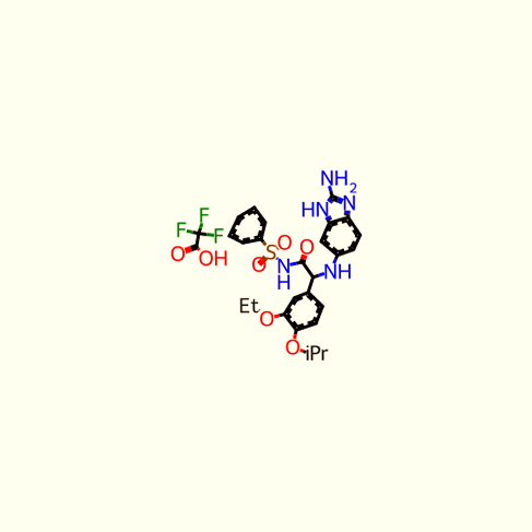 CCOc1cc(C(Nc2ccc3nc(N)[nH]c3c2)C(=O)NS(=O)(=O)c2ccccc2)ccc1OC(C)C.O=C(O)C(F)(F)F